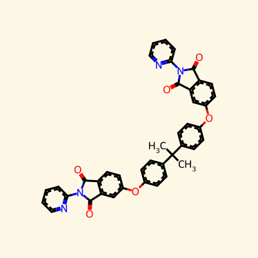 CC(C)(c1ccc(Oc2ccc3c(c2)C(=O)N(c2ccccn2)C3=O)cc1)c1ccc(Oc2ccc3c(c2)C(=O)N(c2ccccn2)C3=O)cc1